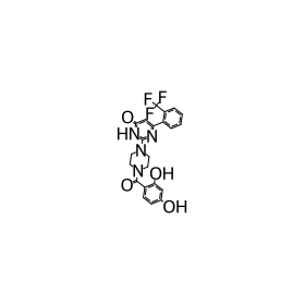 O=C(c1ccc(O)cc1O)N1CCN(c2nc(-c3ccccc3C(F)(F)F)cc(=O)[nH]2)CC1